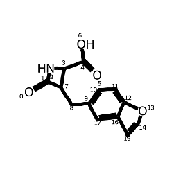 O=C1NC(C(=O)O)C1Cc1ccc2occc2c1